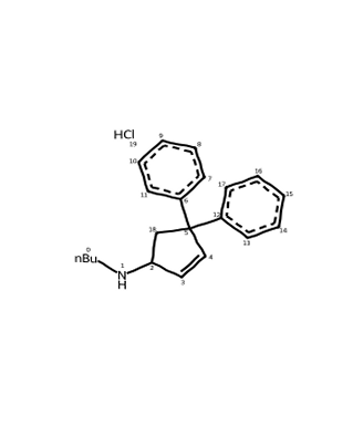 CCCCNC1C=CC(c2ccccc2)(c2ccccc2)C1.Cl